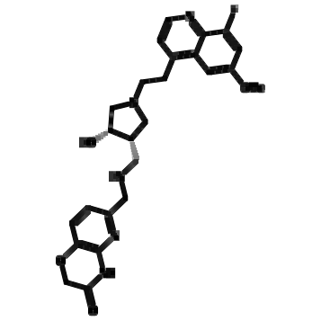 COc1cc(F)c2nccc(CCN3C[C@H](CNCc4ccc5c(n4)NC(=O)CO5)[C@H](O)C3)c2c1